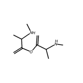 C=C(OC(=C)C(C)NC)C(C)NC